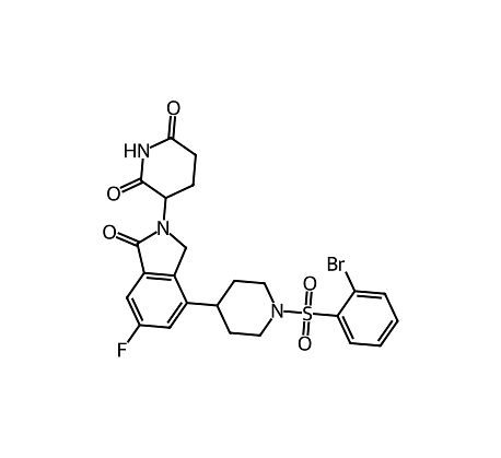 O=C1CCC(N2Cc3c(cc(F)cc3C3CCN(S(=O)(=O)c4ccccc4Br)CC3)C2=O)C(=O)N1